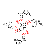 CCC=C(CC)[SiH2]c1ccc(C(=O)OOC(=O)OC2CCC(C(C3CCC(OC(=O)OOC(=O)c4ccc([SiH2]C(=CCC)CC)cc4)CC3)(C3CCC(OC(=O)OOC(=O)c4ccc([SiH2]C(=CCC)CC)cc4)CC3)C3CCC(OC(=O)OOC(=O)c4ccc([SiH2]C(=CCC)CC)cc4)CC3)CC2)cc1